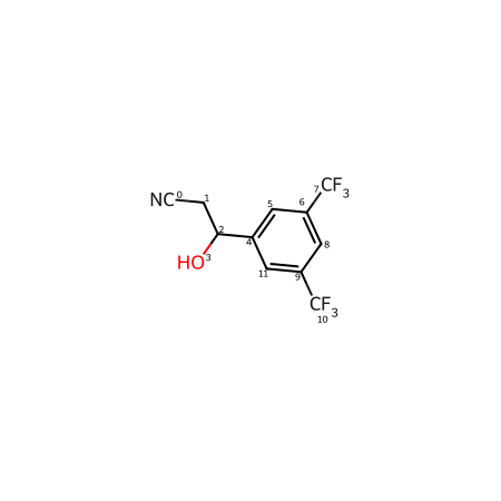 N#CCC(O)c1cc(C(F)(F)F)cc(C(F)(F)F)c1